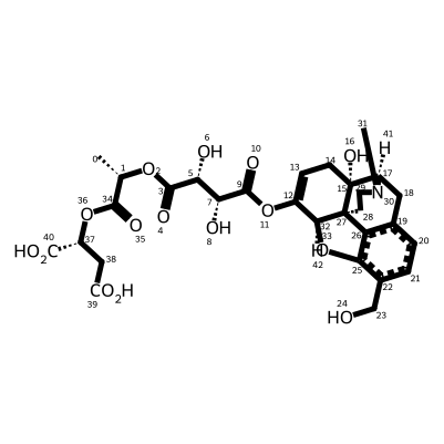 C[C@H](OC(=O)[C@H](O)[C@@H](O)C(=O)OC1=CC[C@@]2(O)[C@H]3Cc4ccc(CO)c5c4[C@@]2(CCN3C)[C@H]1O5)C(=O)O[C@H](CC(=O)O)C(=O)O